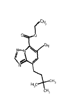 CCOC(=O)c1c(O)cc(CCC(C)(C)C)c2ncnn12